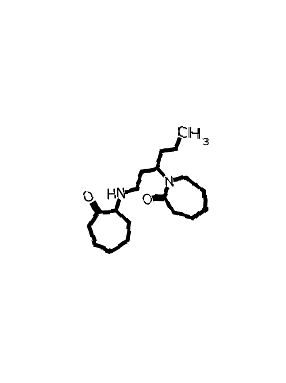 CCCC(CCNC1CCCCCC1=O)N1CCCCCC1=O